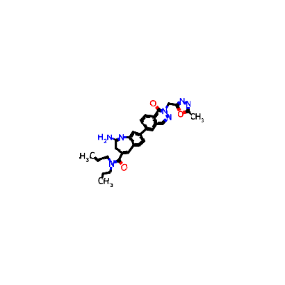 CCCN(CCC)C(=O)C1=Cc2ccc(-c3ccc4c(=O)n(Cc5nnc(C)o5)ncc4c3)cc2N=C(N)C1